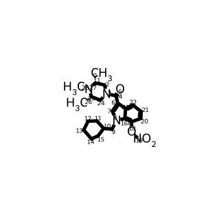 C[C@@H]1CN(C(=O)c2cn(CC3CCCCC3)c3c(O[N+](=O)[O-])cccc23)C[C@H](C)N1C